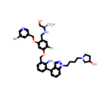 N#Cc1cncc(COc2cc(OCc3cccc(-c4cccc5c4cnn5CCCCN4CCC(O)C4)c3N)c(Cl)cc2CN[C@@H](CO)C(=O)O)c1